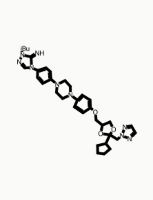 CCC(C)n1ncn(-c2ccc(N3CCN(c4ccc(OCC5COC(Cn6nccn6)(C6CCCC6)O5)cc4)CC3)cc2)c1=N